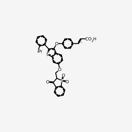 CC(C)c1ccccc1-c1sc2cc(OCC3C(=O)c4ccccc4S3(=O)=O)ccc2c1Oc1ccc(/C=C/C(=O)O)cc1